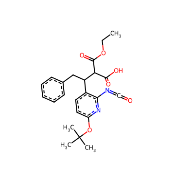 CCOC(=O)C(C(=O)O)C(Cc1ccccc1)c1ccc(OC(C)(C)C)nc1N=C=O